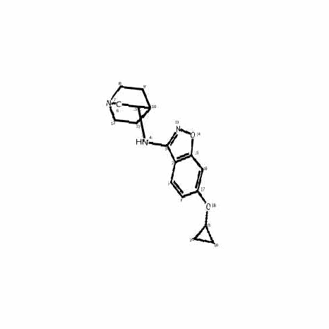 c1cc2c(NC3CN4CCC3CC4)noc2cc1OC1CC1